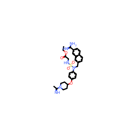 CCOC(=O)CNS(=O)(=O)N(Cc1ccc2ccc(C(=N)N)cc2c1)c1ccc(OC2CCN(C(C)=N)CC2)cc1